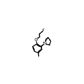 Cc1ccc(OCCF)c(N2CCCC2)c1